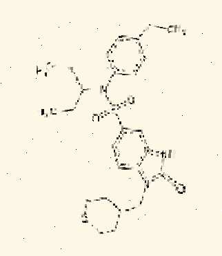 CCc1ccc(N(C(CC)CC)S(=O)(=O)c2ccc3c(c2)[nH]c(=O)n3CC2CCOCC2)cc1